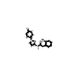 O=C(Cc1ccccc1F)Nc1ccn(-c2ccc(Cl)cc2)n1